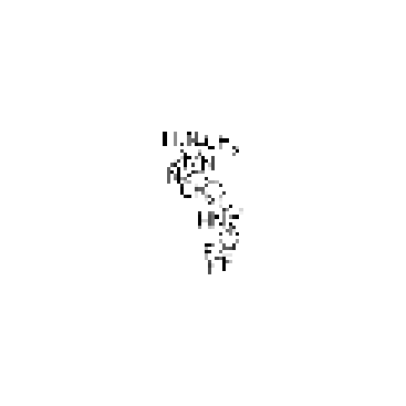 Cc1nccn2c(C(C)N)nc(-c3ccc(C(=O)Nc4cc(C(F)(F)F)ccn4)cc3)c12